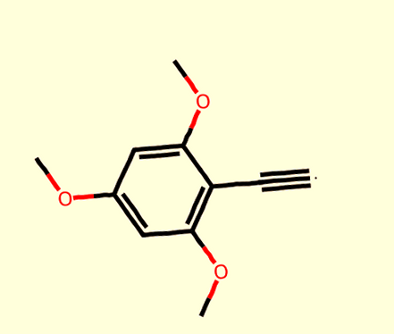 [C]#Cc1c(OC)cc(OC)cc1OC